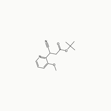 COc1cccnc1C(C#N)CC(=O)OC(C)(C)C